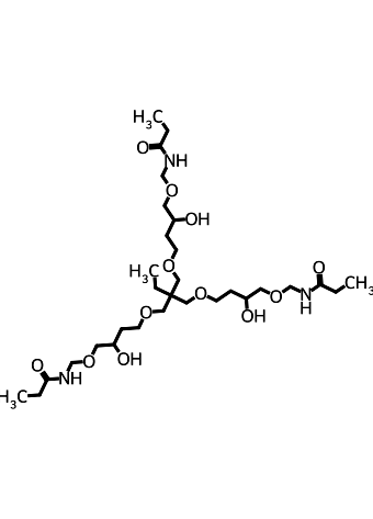 CCC(=O)NCOCC(O)CCOCC(CC)(COCCC(O)COCNC(=O)CC)COCCC(O)COCNC(=O)CC